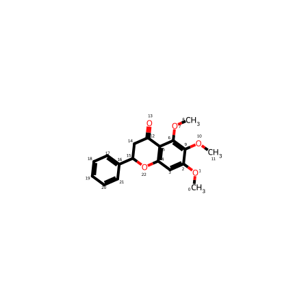 COc1cc2c(c(OC)c1OC)C(=O)CC(c1ccccc1)O2